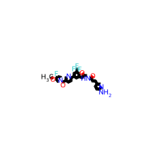 COC1CN(C(=O)c2ccc(-c3cc(C(F)(F)F)c4oc(CNC(=O)C=Cc5ccc(N)nc5)cc4c3)nc2)CC1F